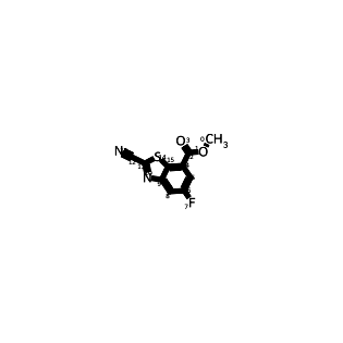 COC(=O)c1cc(F)cc2nc(C#N)sc12